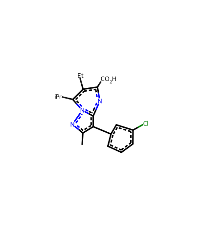 CCc1c(C(=O)O)nc2c(-c3cccc(Cl)c3)c(C)nn2c1C(C)C